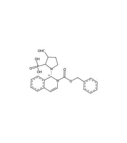 O=CC1CCN([C@H]2c3ccccc3C=CN2C(=O)OCc2ccccc2)C1P(=O)(O)O